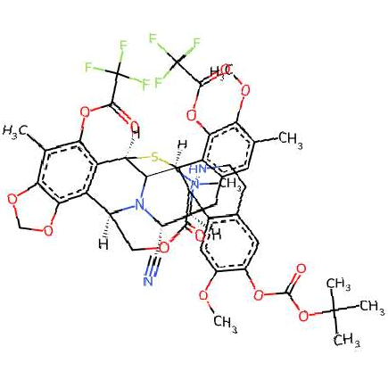 COc1cc2c(cc1OC(=O)OC(C)(C)C)CCN[C@]21CS[C@@H]2c3c(OC(=O)C(F)(F)F)c(C)c4c(c3[C@H](COC1=O)N1C2[C@H]2c3c(cc(C)c(OC)c3OC(=O)C(F)(F)F)C[C@@H]([C@@H]1C#N)N2C)OCO4